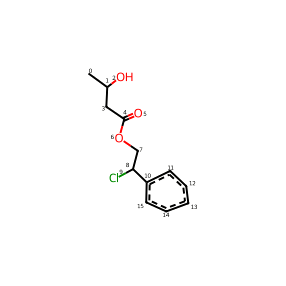 CC(O)CC(=O)OCC(Cl)c1ccccc1